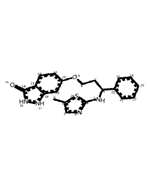 Cc1cnc(NC(CCOc2ccc3c(=O)[nH][nH]c3c2)c2ccccc2)s1